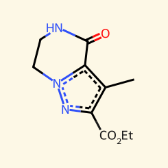 CCOC(=O)c1nn2c(c1C)C(=O)NCC2